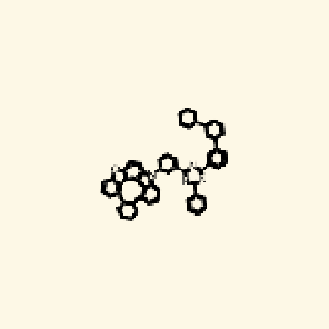 c1ccc(-c2cccc(-c3cccc(-c4nc(-c5ccccc5)nc(-c5cccc(-n6c7cccc8c9ccccc9c9cccc%10oc%11ccc6c(c%11c%109)c87)c5)n4)c3)c2)cc1